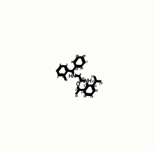 Cc1ccccc1C(NCC(=O)Nc1c(C(C)C)cccc1C(C)C)c1ccccc1